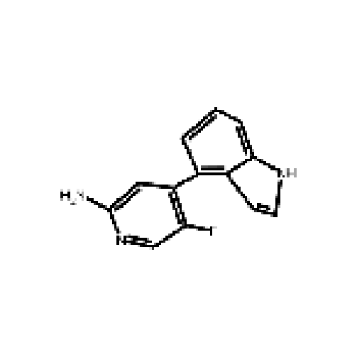 Nc1cc(-c2cccc3[nH]ccc23)c(F)cn1